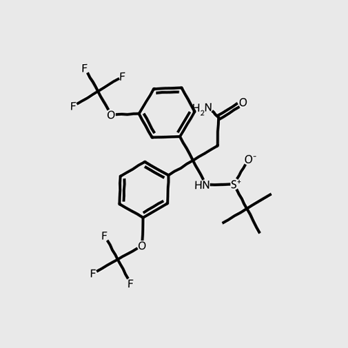 CC(C)(C)[S+]([O-])NC(CC(N)=O)(c1cccc(OC(F)(F)F)c1)c1cccc(OC(F)(F)F)c1